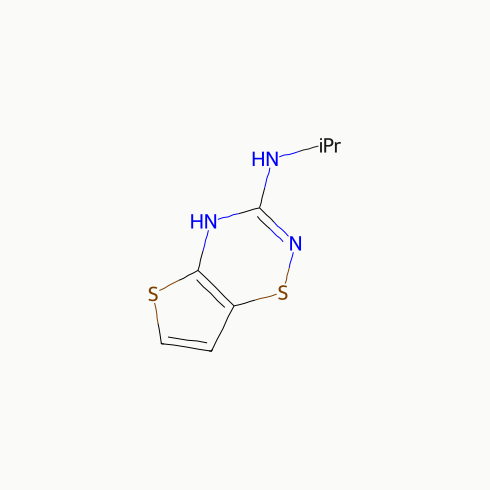 CC(C)NC1=NSc2ccsc2N1